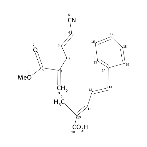 C=C(CC=CC#N)C(=O)OC.CC(=CC=Cc1ccccc1)C(=O)O